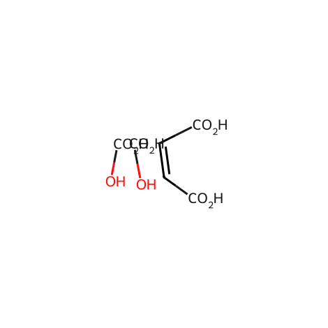 O=C(O)/C=C\C(=O)O.O=C(O)O.O=C(O)O